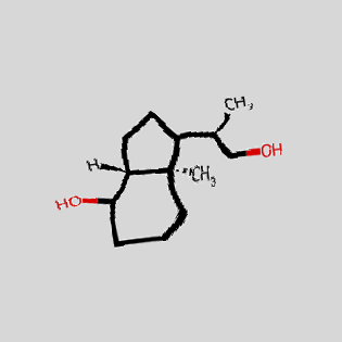 C[C@@H](CO)C1CC[C@H]2C(O)CCC[C@]12C